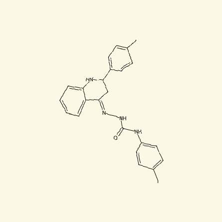 Cc1ccc(NC(=O)NN=C2CC(c3ccc(C)cc3)Nc3ccccc32)cc1